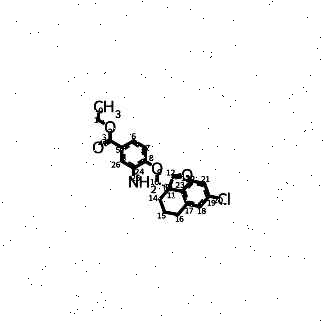 CCOC(=O)c1ccc(OC[C@@]2(C=O)CCCc3cc(Cl)ccc32)c(N)c1